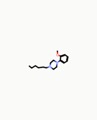 CCCCCCN1CCN(c2ccccc2OC)CC1